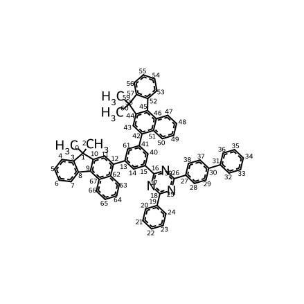 CC1(C)c2ccccc2-c2c1cc(-c1cc(-c3nc(-c4ccccc4)nc(-c4ccc(-c5ccccc5)cc4)n3)cc(-c3cc4c(c5ccccc35)-c3ccccc3C4(C)C)c1)c1ccccc21